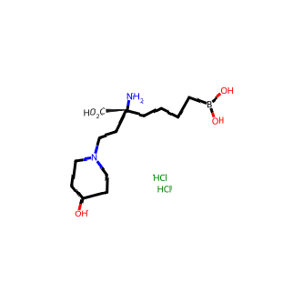 Cl.Cl.N[C@](CCCCB(O)O)(CCN1CCC(O)CC1)C(=O)O